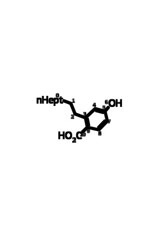 CCCCCCCCCc1cc(O)ccc1C(=O)O